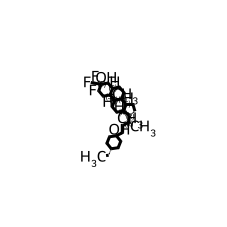 CC[C@H]1CC[C@](O)(CC[C@@H](C)[C@H]2CC[C@H]3[C@@H]4CC[C@H]5C[C@](O)(C(F)(F)F)CC[C@]5(C)[C@H]4CC[C@]23C)CC1